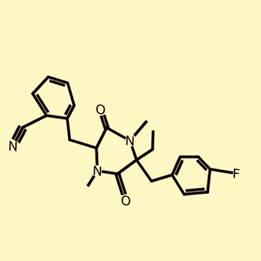 CCC1(Cc2ccc(F)cc2)C(=O)N(C)C(Cc2ccccc2C#N)C(=O)N1C